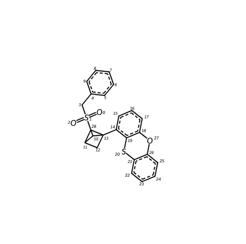 O=S(=O)(Cc1ccccc1)C1C2CC1(c1cccc3c1Sc1ccccc1O3)C2